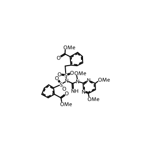 COC(=O)c1ccccc1CS(=O)(=O)N(C(=N)N(OC)c1nc(OC)cc(OC)n1)S(=O)(=O)c1ccccc1C(=O)OC